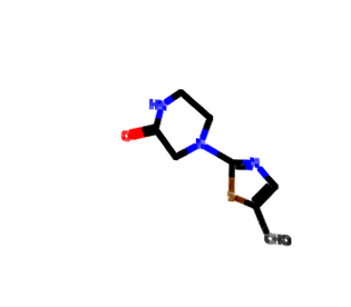 O=Cc1cnc(N2CCNC(=O)C2)s1